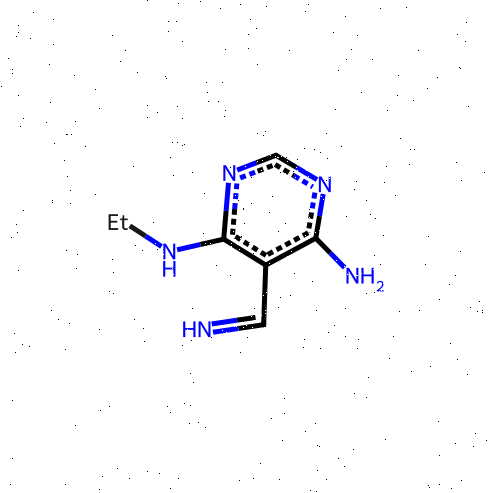 CCNc1ncnc(N)c1C=N